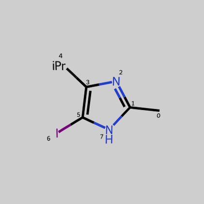 Cc1nc(C(C)C)c(I)[nH]1